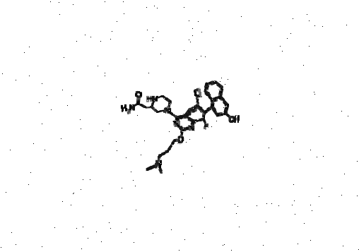 CN(C)CCCOc1nc(N2CCNC(CC(N)=O)C2)c2cc(Cl)c(-c3cc(O)cc4ccccc34)c(F)c2n1